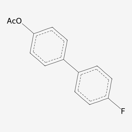 CC(=O)Oc1ccc(-c2ccc(F)cc2)cc1